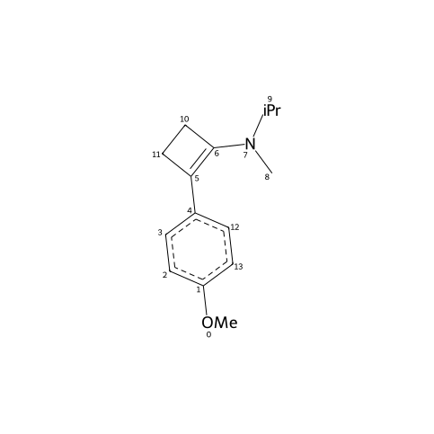 COc1ccc(C2=C(N(C)C(C)C)CC2)cc1